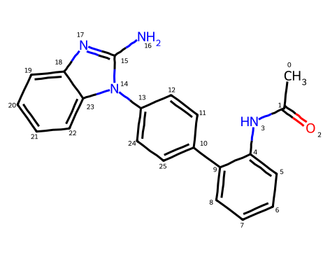 CC(=O)Nc1ccccc1-c1ccc(-n2c(N)nc3ccccc32)cc1